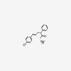 CC(=O)C(CC=Cc1ccc(Cl)cc1)c1ccccc1.[H-].[Na+]